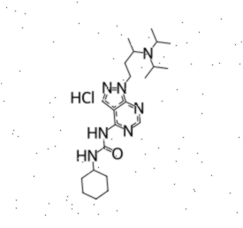 CC(C)N(C(C)C)C(C)CCn1ncc2c(NC(=O)NC3CCCCC3)ncnc21.Cl